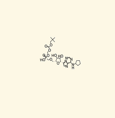 CC(C)(C)COC(=O)OCOP(=O)(O)COC[C@H]1O[C@@H](c2cnc3c(NC4CCCC4)ncnn23)[C@H](O)[C@@H]1O